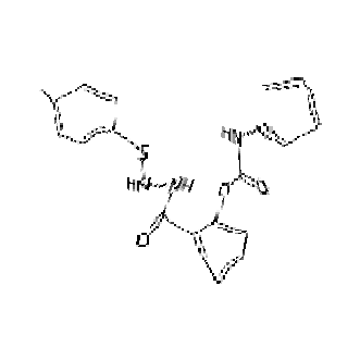 Cc1ccc(SNNC(=O)c2ccccc2OC(=O)Nc2ccccc2)cc1